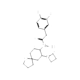 CN(C(=O)Cc1ccc(F)c(F)c1)C1CCC2(CCCO2)CC1N1CCC1